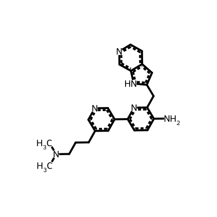 CN(C)CCCc1cncc(-c2ccc(N)c(Cc3cc4ccncc4[nH]3)n2)c1